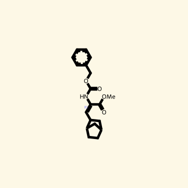 COC(=O)/C(=C\C1CC2CCC1C2)NC(=O)OCc1ccccc1